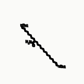 CCCCCCCCC=CCCCCCCCCCCCCC(CCCCCCC=CCCCCCCCC)C(N)=O